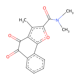 Cc1c(C(=O)N(C)C)oc2c1C(=O)C(=O)c1ccccc1-2